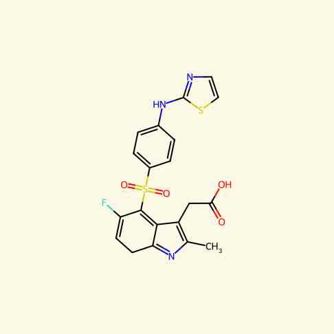 CC1=C(CC(=O)O)C2=C(S(=O)(=O)c3ccc(Nc4nccs4)cc3)C(F)=CCC2=N1